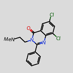 CNCCn1c(-c2ccccc2)nc2c(Cl)cc(Cl)cc2c1=O